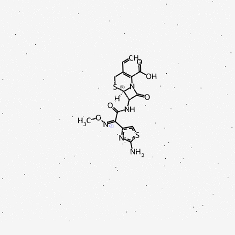 C=CC1=C(C(=O)O)N2C(=O)C(NC(=O)/C(=N\OC)c3csc(N)n3)[C@H]2SC1